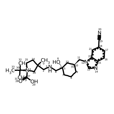 CC1(CNC[C@]2(O)CCC[C@H](Cn3cnc4ccc(C#N)cc43)C2)CC[N+](C(=O)O)(C(C)(C)C)C1